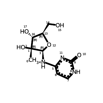 C[C@]1(O)[C@H](Nc2cc[nH]c(=O)n2)O[C@H](CO)[C@H]1O